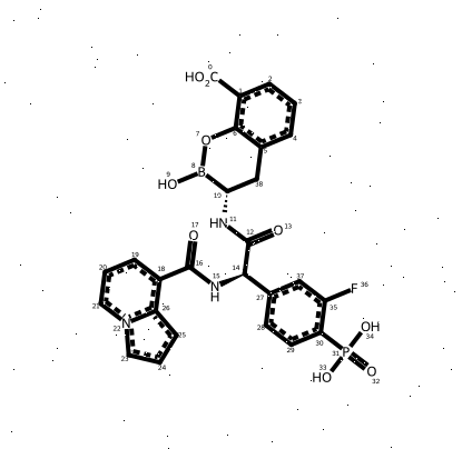 O=C(O)c1cccc2c1OB(O)[C@@H](NC(=O)[C@H](NC(=O)c1cccn3cccc13)c1ccc(P(=O)(O)O)c(F)c1)C2